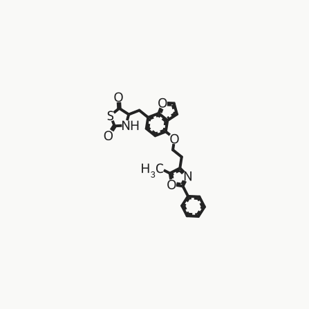 Cc1oc(-c2ccccc2)nc1CCOc1ccc(CC2NC(=O)SC2=O)c2occc12